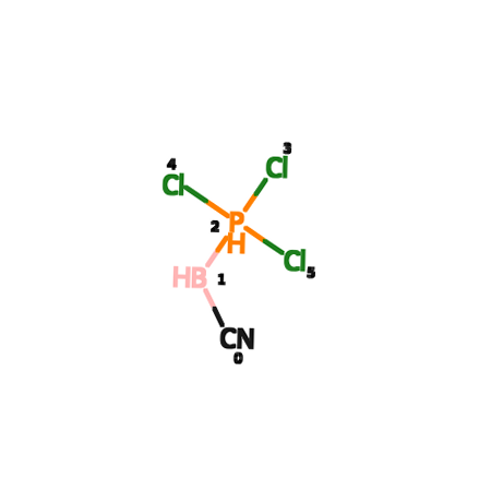 N#CB[PH](Cl)(Cl)Cl